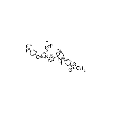 CCS(=O)(=O)c1ccc([C@H](CC#N)NC(=O)c2cnc(N3C[C@@H](Oc4ccc(C(F)(F)F)cc4)C[C@H]3COC(F)F)s2)cc1